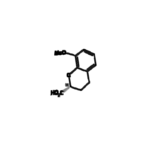 COc1cccc2c1O[C@@H](C(=O)O)CC2